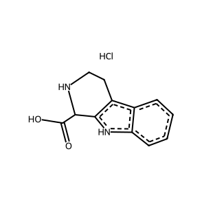 Cl.O=C(O)C1NCCc2c1[nH]c1ccccc21